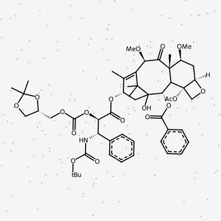 CO[C@H]1C(=O)[C@@]2(C)C([C@H](OC(=O)c3ccccc3)C3(O)C[C@H](OC(=O)[C@H](OC(=O)OC[C@@H]4COC(C)(C)O4)[C@@H](NC(=O)OC(C)(C)C)c4ccccc4)C(C)=C1C3(C)C)[C@]1(OC(C)=O)CO[C@@H]1C[C@@H]2OC